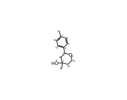 Cc1ccc(C2CC(C)(O)CCO2)cc1